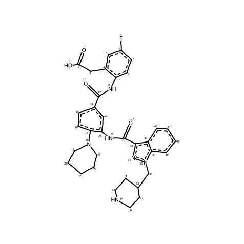 O=C(O)Cc1cc(F)ccc1NC(=O)c1ccc(N2CCCCC2)c(NC(=O)c2nn(CC3CCNCC3)c3ccccc23)c1